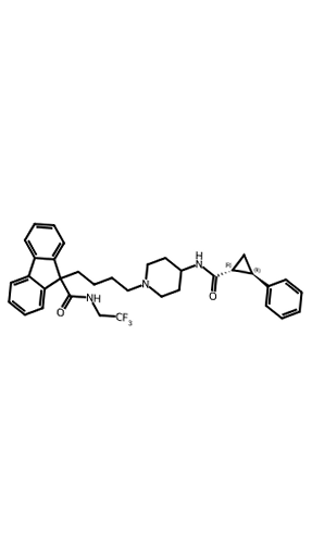 O=C(NC1CCN(CCCCC2(C(=O)NCC(F)(F)F)c3ccccc3-c3ccccc32)CC1)[C@@H]1C[C@H]1c1ccccc1